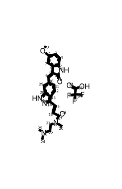 COc1ccc2c(c1)C(=Cc1ccc3c(C=CC(=O)N(C)CCN(C)C)n[nH]c3c1)C(=O)N2.O=C(O)C(F)(F)F